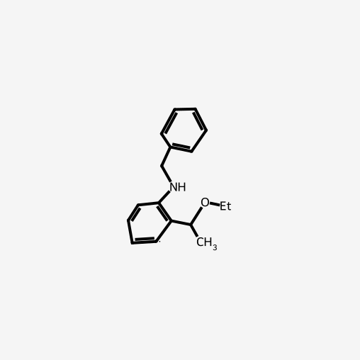 CCOC(C)c1[c]cccc1NCc1ccccc1